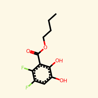 CCCCOC(=O)c1c(O)c(O)cc(F)c1F